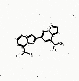 CC(C)c1cc(-c2cc3cccc(C(C)C)n3n2)cn2nccc12